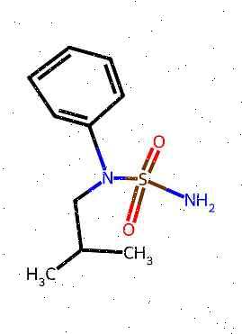 CC(C)CN(c1ccccc1)S(N)(=O)=O